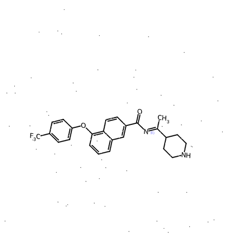 C/C(=N\C(=O)c1ccc2c(Oc3ccc(C(F)(F)F)cc3)cccc2c1)C1CCNCC1